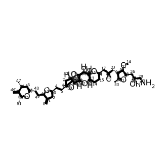 C=C1C[C@H](CC[C@@]23C[C@H]4OC5[C@@H](O[C@H]6CC[C@H](CC(=O)C[C@@H]7[C@@H](OC)[C@@H](C[C@H](O)CN)O[C@H]7C)O[C@@H]6[C@@H]5O2)[C@H]4O3)OC1CC[C@H]1C[C@@H](C)C(=C)[C@@H](C)O1